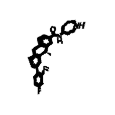 C[C@H]1c2cc(C(=O)NC3CCCNCC3)ccc2Cc2ccc(-c3ccc(F)cc3F)cc21